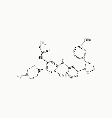 C=CC(=O)Nc1cc(Nc2cc(N3OCCC3c3cccc(OC)c3)ncn2)c(OC)cc1N1CCN(C)CC1